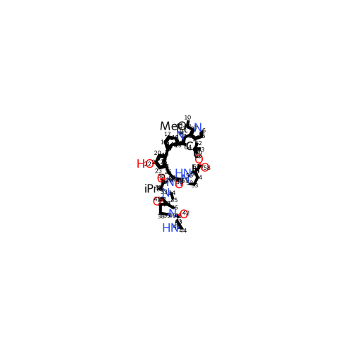 CCn1c(-c2cccnc2[C@H](C)OC)c2c3cc(ccc31)-c1cc(O)cc(c1)C[C@H](NC(=O)[C@H](C(C)C)N1CC[C@]3(CCCN(C(=O)[C@@H]4CN4)C3)C1=O)C(=O)N1CCC[C@H](N1)C(=O)OCC(C)(C)C2